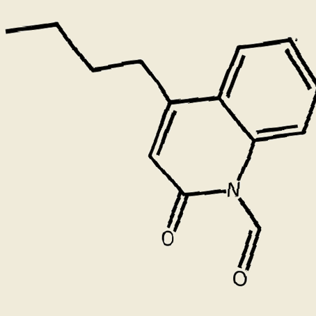 CCCCc1cc(=O)n(C=O)c2cc[c]cc12